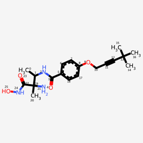 CC(NC(=O)c1ccc(OCC#CC(C)(C)C)cc1)C(C)(N)C(=O)NO